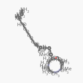 CO[C@H]1C[C@@H]2CC[C@@H](C)[C@@](O)(O2)C(=O)C(=O)N2CCCC[C@H]2C(=O)OC([C@H](N)C[C@@H]2CC[C@@H](OCc3cccc(-c4cnc(N5CCN(Cc6cn(CCOCCOCCOCCOCCOCCC(=O)NCCCCn7nc(-c8ccc9oc(N)nc9c8)c8c(N)ncnc87)nn6)C(CO)C5)nc4)c3)[C@H](OC)C2)CC(=O)[C@H](C)/C=C(\C)[C@@H](O)[C@@H](O)C(=O)[C@H](C)C[C@H](C)/C=C/C=C/C=C/1C